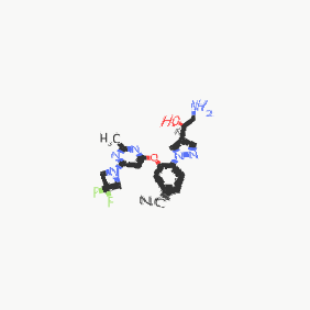 Cc1nc(Oc2cc(C#N)ccc2-n2cc([C@@H](O)CN)cn2)cc(N2CC(F)(F)C2)n1